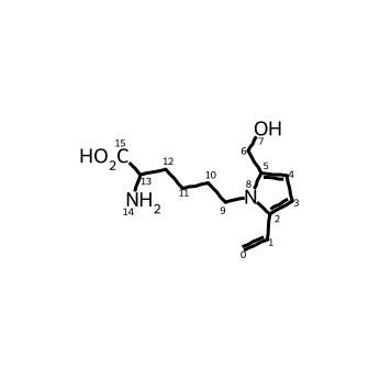 C=Cc1ccc(CO)n1CCCCC(N)C(=O)O